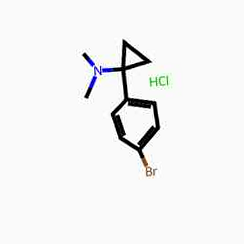 CN(C)C1(c2ccc(Br)cc2)CC1.Cl